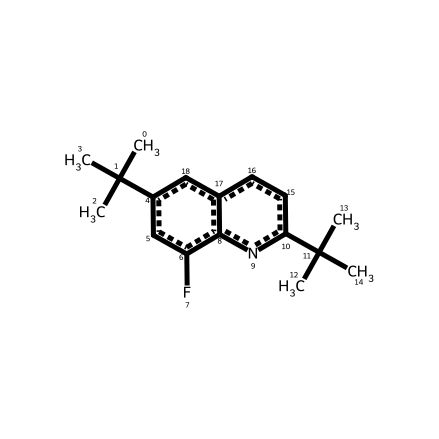 CC(C)(C)c1cc(F)c2nc(C(C)(C)C)ccc2c1